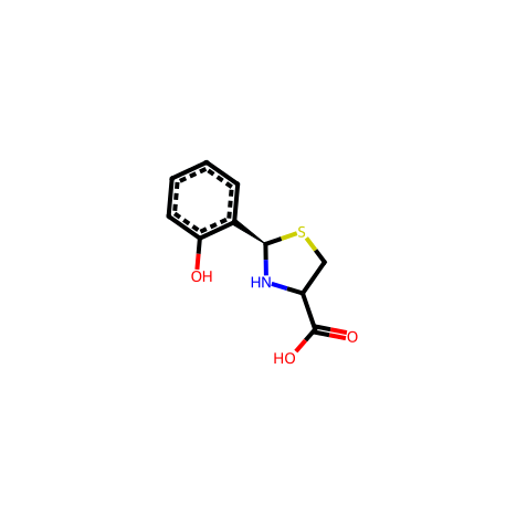 O=C(O)C1CS[C@H](c2ccccc2O)N1